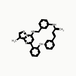 C=C(/C=C/c1ccccc1)Nc1cccc(CNc2cc(-c3ccccc3O)nc3c(C)cnn23)c1